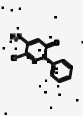 Nc1cc(=O)n(-c2ccccc2)nc1Cl